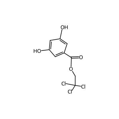 O=C(OCC(Cl)(Cl)Cl)c1cc(O)cc(O)c1